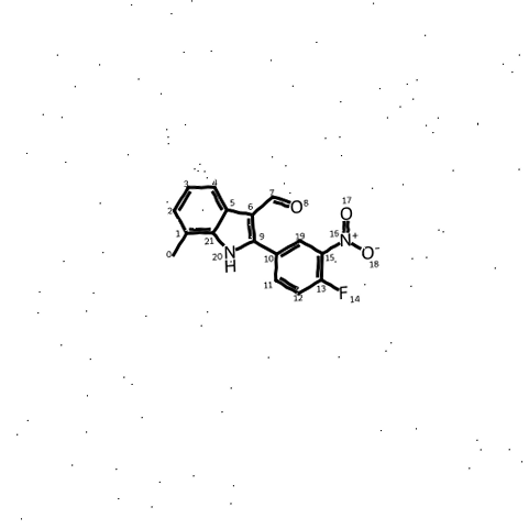 Cc1cccc2c(C=O)c(-c3ccc(F)c([N+](=O)[O-])c3)[nH]c12